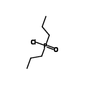 CCCP(=O)(Cl)CCC